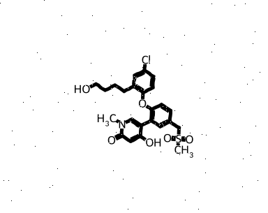 Cn1cc(-c2cc(CS(C)(=O)=O)ccc2Oc2ccc(Cl)cc2CCCCO)c(O)cc1=O